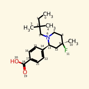 CCC(C)(C)CN1CC[C@@](C)(F)C[C@H]1c1ccc(C(=O)O)cc1